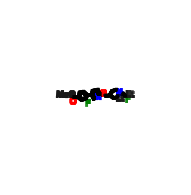 CCC(F)(CC)CN1CCC(COc2ccc(-c3ccc(C(=O)OC)cc3F)cn2)CC1